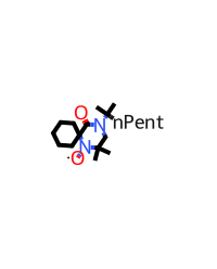 CCCCCC(C)(C)N1CC(C)(C)N([O])C2(CCCCC2)C1=O